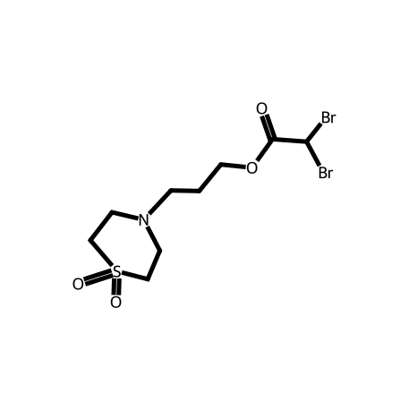 O=C(OCCCN1CCS(=O)(=O)CC1)C(Br)Br